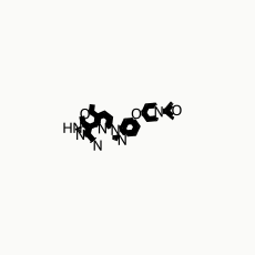 CC(=O)c1ccc(-n2cnc3ccc(OC4CCN(C5COC5)CC4)cc32)nc1-c1c(C#N)n[nH]c1C